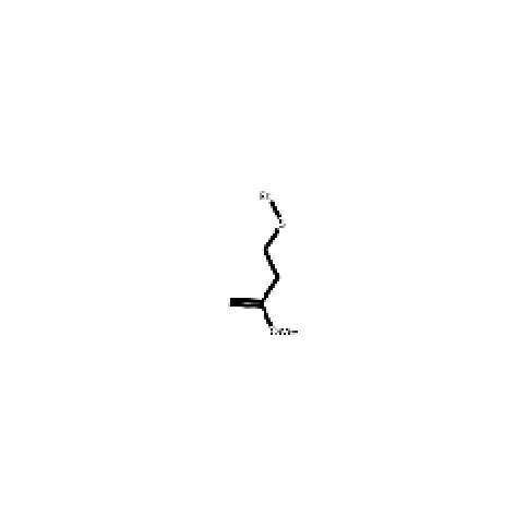 C=C(CCSCC)OC